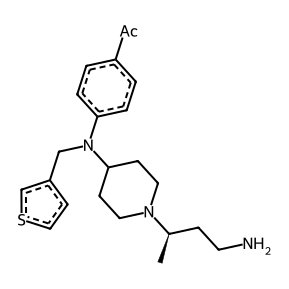 CC(=O)c1ccc(N(Cc2ccsc2)C2CCN([C@H](C)CCN)CC2)cc1